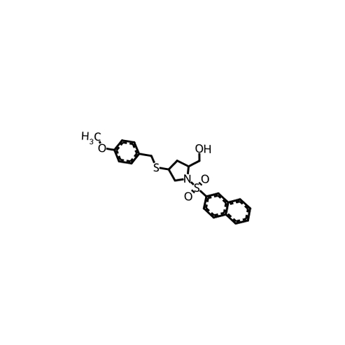 COc1ccc(CSC2CC(CO)N(S(=O)(=O)c3ccc4ccccc4c3)C2)cc1